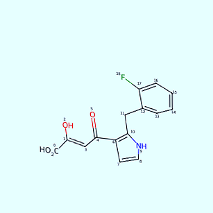 O=C(O)C(O)=CC(=O)c1cc[nH]c1Cc1ccccc1F